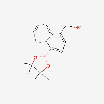 CC1(C)OB(c2ccc(CBr)c3ccccc23)OC1(C)C